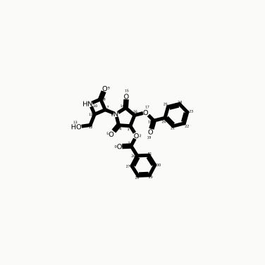 O=C(OC1C(=O)N(C2C(=O)NC2CO)C(=O)C1OC(=O)c1ccccc1)c1ccccc1